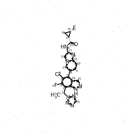 C[C@H](c1c(F)c(Cl)c(-c2ccc3nc(NC(=O)[C@@H]4C[C@@H]4F)cn3c2)c2cn[nH]c12)n1ncnn1